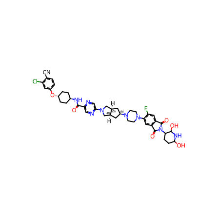 N#Cc1ccc(O[C@H]2CC[C@H](NC(=O)c3cnc(N4C[C@H]5C[C@@H](N6CCN(c7cc8c(cc7F)C(=O)N(C7CCC(O)NC7O)C8=O)CC6)C[C@H]5C4)cn3)CC2)cc1Cl